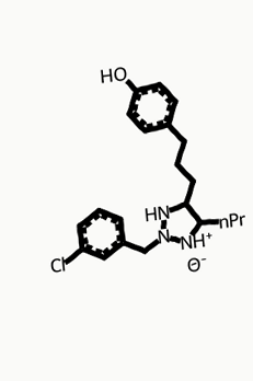 CCCC1C(CCCc2ccc(O)cc2)NN(Cc2cccc(Cl)c2)[NH+]1[O-]